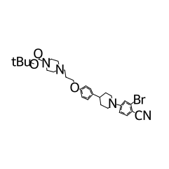 CC(C)(C)OC(=O)N1CCN(CCCOc2ccc(C3CCN(c4ccc(C#N)c(Br)c4)CC3)cc2)CC1